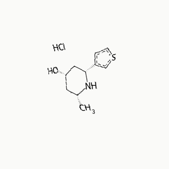 C[C@@H]1C[C@H](O)C[C@H](c2ccsc2)N1.Cl